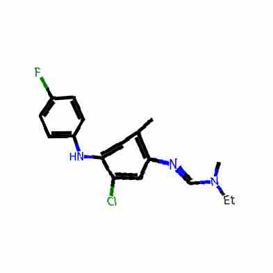 CCN(C)C=Nc1cc(Cl)c(Nc2ccc(F)cc2)cc1C